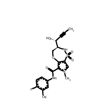 CC#C[C@@H](O)[C@@H]1COc2c(cn(C)c2C(=O)Nc2ccc(F)c(C#N)c2)S(=O)(=O)N1